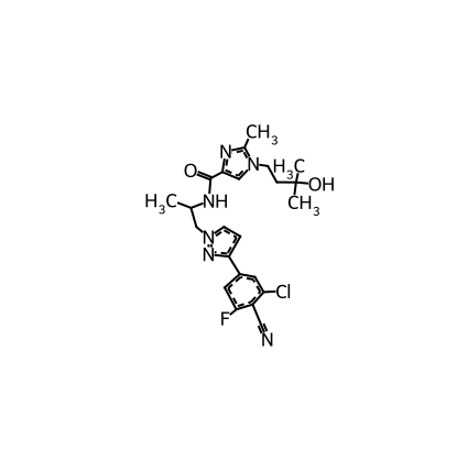 Cc1nc(C(=O)NC(C)Cn2ccc(-c3cc(F)c(C#N)c(Cl)c3)n2)cn1CCC(C)(C)O